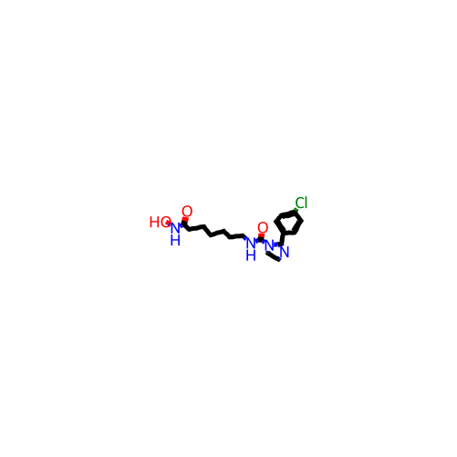 O=C(CCCCCCNC(=O)N1CCN=C1c1ccc(Cl)cc1)NO